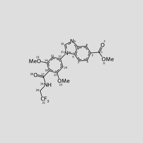 COC(=O)c1ccc2c(c1)ncn2-c1cc(OC)c(C(=O)NCC(F)(F)F)c(OC)c1